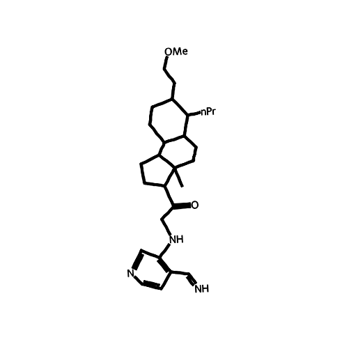 CCCC1C(CCOC)CCC2C1CCC1(C)C(C(=O)CNc3cnccc3C=N)CCC21